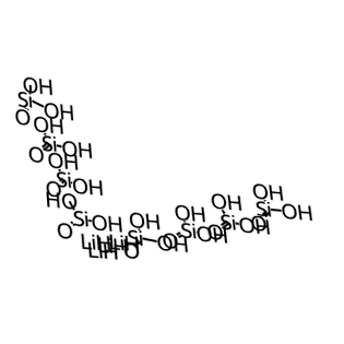 O=[Si](O)O.O=[Si](O)O.O=[Si](O)O.O=[Si](O)O.O=[Si](O)O.O=[Si](O)O.O=[Si](O)O.O=[Si](O)O.[LiH].[LiH].[LiH].[LiH]